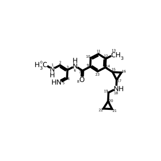 CN/C=C(\C=N)NC(=O)c1ccc(C)c(C2CC2NCC2CC2)c1